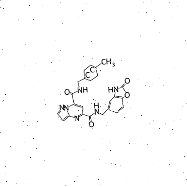 CC12CCC(CNC(=O)c3cc(C(=O)NCc4ccc5oc(=O)[nH]c5c4)nc4ccnn34)(CC1)CC2